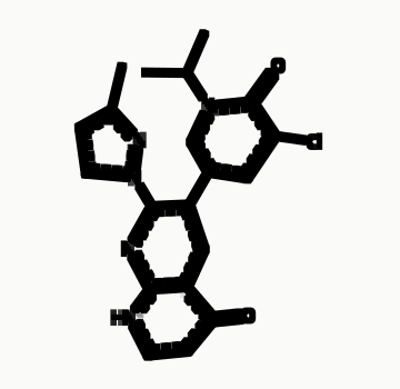 Cc1ccn(-c2nc3[nH]ccc(=O)c3cc2-c2cc(Cl)c(=O)n(C(C)C)c2)n1